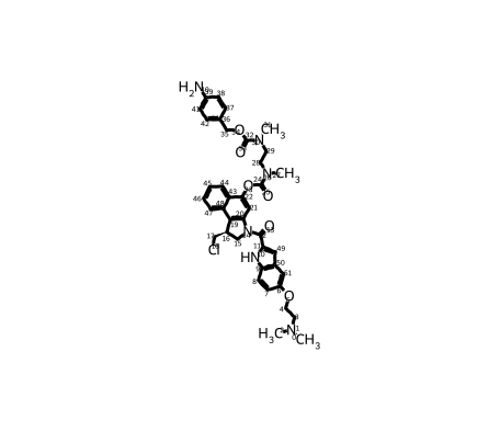 CN(C)CCOc1ccc2[nH]c(C(=O)N3C[C@@H](CCl)c4c3cc(OC(=O)N(C)CCN(C)C(=O)OCc3ccc(N)cc3)c3ccccc43)cc2c1